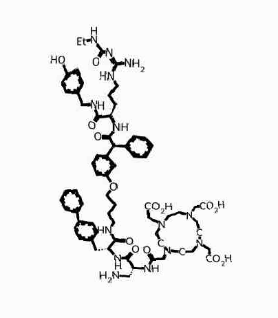 CCNC(=O)/N=C(/N)NCCC[C@@H](NC(=O)C(c1ccccc1)c1cccc(OCCCCNC(=O)[C@@H](Cc2ccc(-c3ccccc3)cc2)NC(=O)[C@@H](CN)NC(=O)CN2CCN(CC(=O)O)CCN(CC(=O)O)CCN(CC(=O)O)CC2)c1)C(=O)NCc1ccc(O)cc1